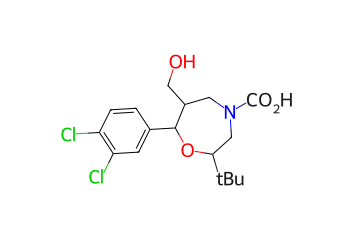 CC(C)(C)C1CN(C(=O)O)CC(CO)C(c2ccc(Cl)c(Cl)c2)O1